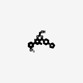 Cc1cc(-c2cccc(C(F)(F)F)c2)nc(OCCO)c1C(=O)N1CCC(N2CCCC2)CC1